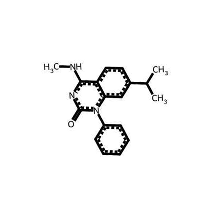 CNc1nc(=O)n(-c2ccccc2)c2cc(C(C)C)ccc12